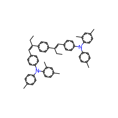 CCC(=Cc1ccc(N(c2ccc(C)cc2)c2ccc(C)cc2C)cc1)c1ccc(C(=Cc2ccc(N(c3ccc(C)cc3)c3ccc(C)cc3C)cc2)CC)cc1